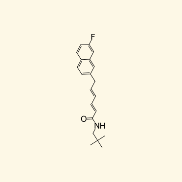 CC(C)(C)CNC(=O)/C=C/C=C/Cc1ccc2ccc(F)cc2c1